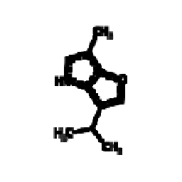 Cc1c[nH]c2c(C(C)C)coc12